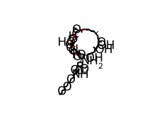 CCOCCOCCOCCNC(=O)O[C@@H]1CC[C@@H](C[C@@H](N)[C@@H]2C[C@@H](O)[C@H](C)/C=C(\C)[C@@H](O)[C@@H](O)C(=O)[C@H](C)C[C@H](C)/C=C/C=C/C=C(\C)[C@@H](OC)C[C@@H]3CC[C@@H](C)[C@@](O)(O3)C(=O)C(=O)N3CCCC[C@H]3C(=O)O2)C[C@H]1OC